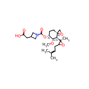 CO[C@@H]1[C@H](OC(=O)N2CC(CC(=O)O)C2)CC[C@]2(CO2)[C@H]1[C@@]1(C)OC1CC=C(C)C